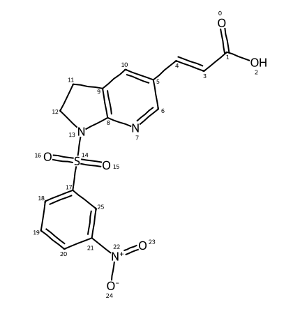 O=C(O)C=Cc1cnc2c(c1)CCN2S(=O)(=O)c1cccc([N+](=O)[O-])c1